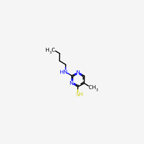 CCCCNc1ncc(C)c(S)n1